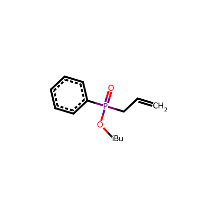 C=CCP(=O)(OC(C)CC)c1ccccc1